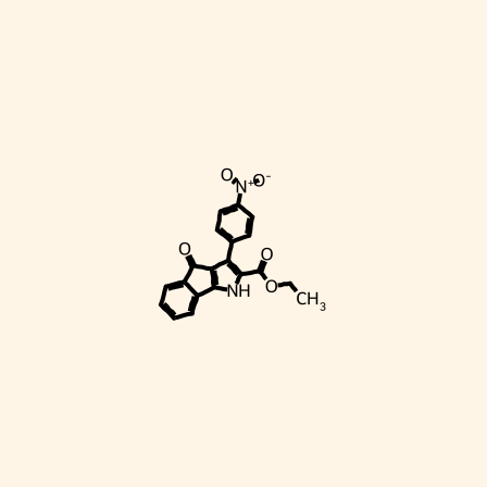 CCOC(=O)c1[nH]c2c(c1-c1ccc([N+](=O)[O-])cc1)C(=O)c1ccccc1-2